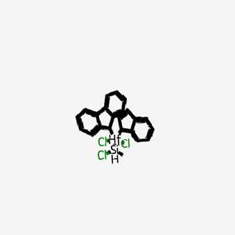 C[SiH](Cl)[Hf]([Cl])([Cl])([CH]1C=Cc2ccccc21)[CH]1c2ccccc2-c2ccccc21